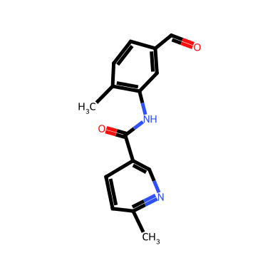 Cc1ccc(C(=O)Nc2cc(C=O)ccc2C)cn1